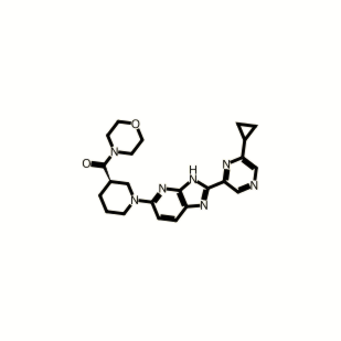 O=C([C@@H]1CCCN(c2ccc3nc(-c4cncc(C5CC5)n4)[nH]c3n2)C1)N1CCOCC1